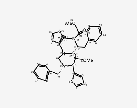 COC(=O)N(c1cncs1)[C@H](Cc1ccccc1)CN(C[C@@H](Cc1ccccc1)N(C(=O)OC)c1cncs1)CC(C)(C)C